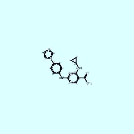 NC(=O)c1cnc(Nc2ccc(-n3ccnc3)cc2)nc1NC1CC1